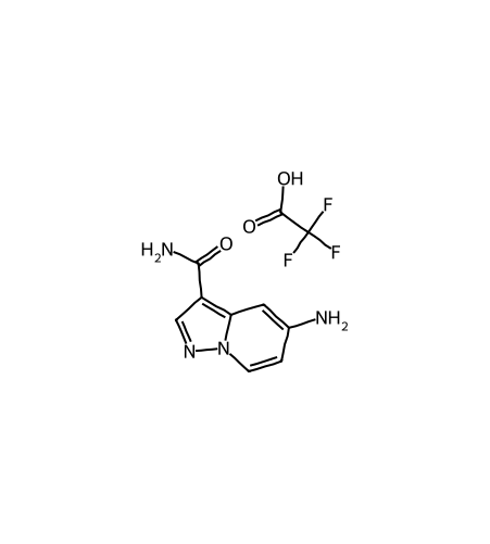 NC(=O)c1cnn2ccc(N)cc12.O=C(O)C(F)(F)F